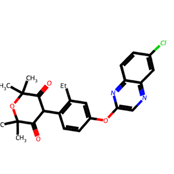 CCc1cc(Oc2cnc3cc(Cl)ccc3n2)ccc1C1C(=O)C(C)(C)OC(C)(C)C1=O